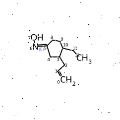 C=CCC1C/C(=N/O)CCC1CC